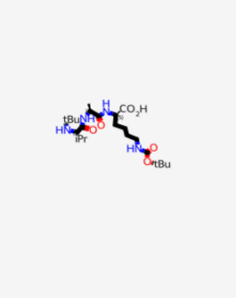 CC(C)[C@H](NC(C)(C)C)C(=O)N[C@@H](C)C(=O)N[C@@H](CCCCNC(=O)OC(C)(C)C)C(=O)O